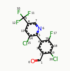 O=Cc1cc(-c2ncc(C(F)(F)F)cc2Cl)c(F)cc1Cl